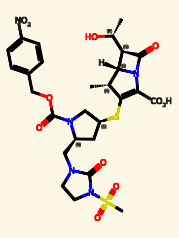 C[C@@H](O)[C@H]1C(=O)N2C(C(=O)O)=C(S[C@H]3C[C@@H](CN4CCN(S(C)(=O)=O)C4=O)N(C(=O)OCc4ccc([N+](=O)[O-])cc4)C3)[C@H](C)[C@H]12